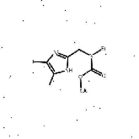 CCN(Cc1nc(I)c(I)[nH]1)C(=O)OC(C)(C)C